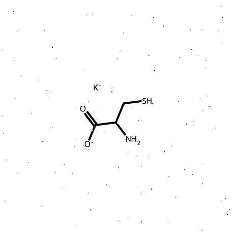 NC(CS)C(=O)[O-].[K+]